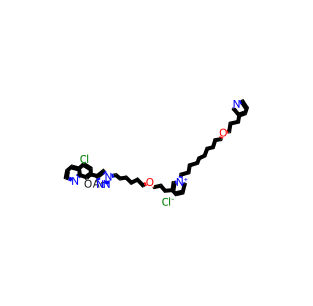 CC(=O)Oc1c(-c2cn(CCCCCCOCCCc3ccc[n+](CCCCCCCCCCOCCCc4cccnc4)c3)nn2)cc(Cl)c2cccnc12.[Cl-]